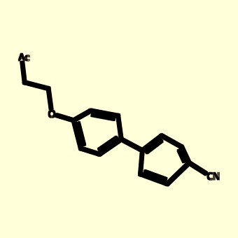 CC(=O)CCOc1ccc(-c2ccc(C#N)cc2)cc1